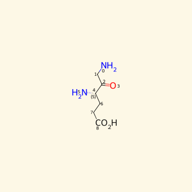 NCC(=O)[C@@H](N)CCC(=O)O